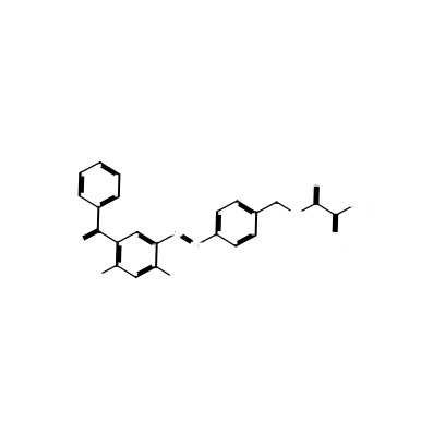 C=C(C)C(=O)OCc1ccc(N=Nc2cc(C(=O)c3ccccc3)c(O)cc2O)cc1